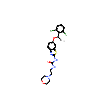 CC(Oc1ccc2nc(NC(=O)NCCN3CCOCC3)sc2c1)c1c(Cl)cccc1Cl